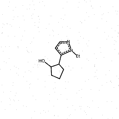 CCn1nccc1C1CCCC1O